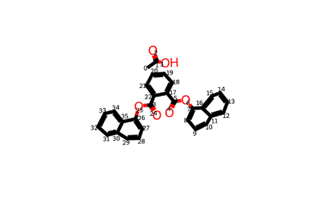 CC(=O)O.O=C(Oc1cccc2ccccc12)c1ccccc1C(=O)Oc1cccc2ccccc12